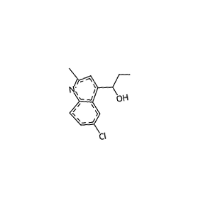 CCC(O)c1cc(C)nc2ccc(Cl)cc12